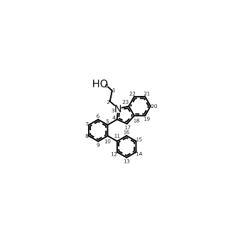 OCCn1c(-c2ccccc2-c2ccccc2)cc2ccccc21